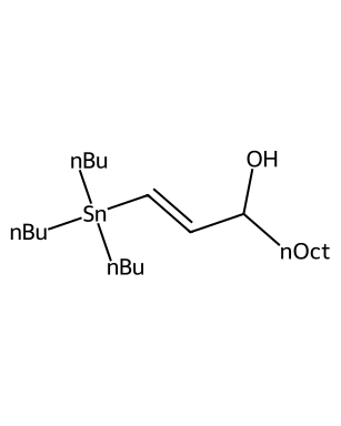 CCCCCCCCC(O)/C=[CH]/[Sn]([CH2]CCC)([CH2]CCC)[CH2]CCC